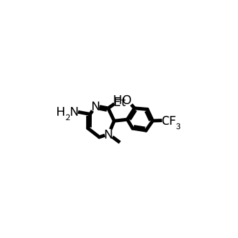 CCC1=NC(N)=CCN(C)C1c1ccc(C(F)(F)F)cc1O